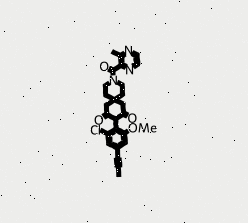 CC#Cc1cc(Cl)c(C2C(=O)CC3(CCN(C(=O)c4nccnc4C)CC3)CC2=O)c(OC)c1